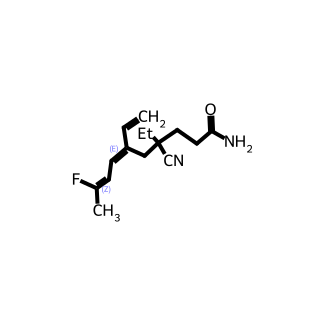 C=C/C(=C/C=C(/C)F)CC(C#N)(CC)CCC(N)=O